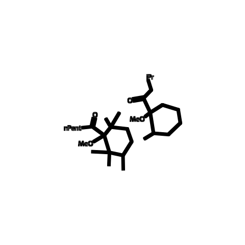 CCCCCC(=O)C1(OC)C(C)(C)CCC(C)C1(C)C.COC1(C(=O)CC(C)C)CCCCC1C